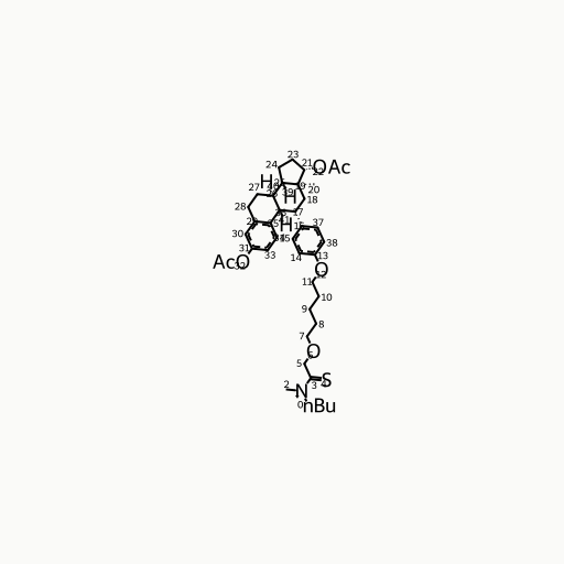 CCCCN(C)C(=S)COCCCCCOc1ccc([C@H]2C[C@]3(C)[C@@H](OC(C)=O)CC[C@H]3[C@@H]3CCc4cc(OC(C)=O)ccc4[C@H]32)cc1